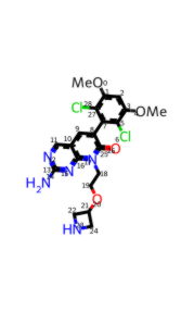 COc1cc(OC)c(Cl)c(-c2cc3cnc(N)nc3n(CCOC3CNC3)c2=O)c1Cl